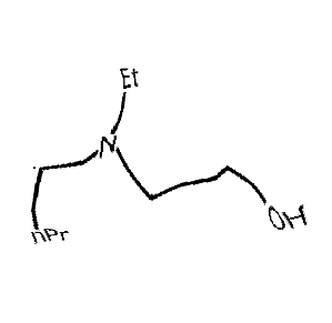 CCC[CH]N(CC)CCO